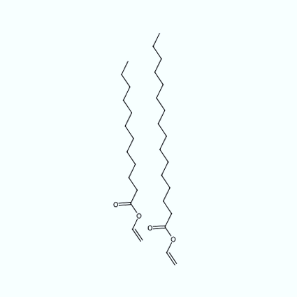 C=COC(=O)CCCCCCCCCCC.C=COC(=O)CCCCCCCCCCCCCCC